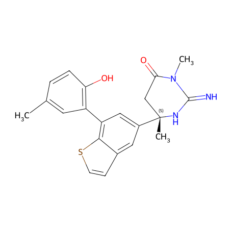 Cc1ccc(O)c(-c2cc([C@]3(C)CC(=O)N(C)C(=N)N3)cc3ccsc23)c1